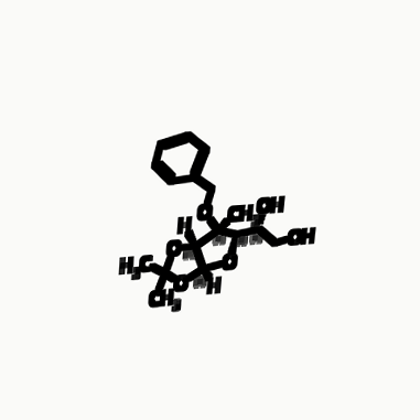 CC1(C)O[C@H]2O[C@H]([C@H](O)CO)[C@@](C)(OCc3ccccc3)[C@H]2O1